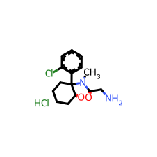 CN(C(=O)CN)C1(c2ccccc2Cl)CCCCC1=O.Cl